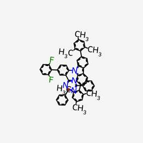 Cc1cc(C)c(-c2ccc3c4ccc(-c5c(C)cc(C)cc5C)cc4n(-c4ccc(-c5c(F)cccc5F)cc4-c4nc(-c5ccccc5)nc(-c5ccccc5)n4)c3c2)c(C)c1